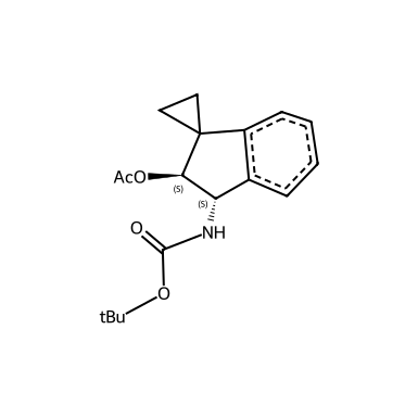 CC(=O)O[C@@H]1[C@@H](NC(=O)OC(C)(C)C)c2ccccc2C12CC2